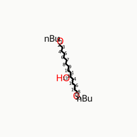 CCCCOCCCCCCCCCCC(O)CCCCCOCCCC